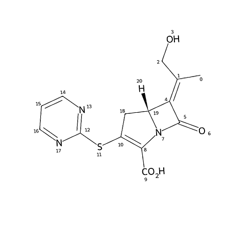 C/C(CO)=C1\C(=O)N2C(C(=O)O)=C(Sc3ncccn3)C[C@H]12